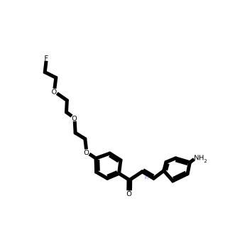 Nc1ccc(/C=C/C(=O)c2ccc(OCCOCCOCCF)cc2)cc1